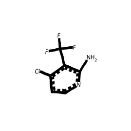 Nc1nccc(Cl)c1C(F)(F)F